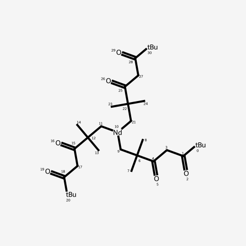 CC(C)(C)C(=O)CC(=O)C(C)(C)[CH2][Nd]([CH2]C(C)(C)C(=O)CC(=O)C(C)(C)C)[CH2]C(C)(C)C(=O)CC(=O)C(C)(C)C